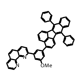 COc1cc(-c2ccc3ccc4cccnc4c3n2)cc(-c2ccc3c4c(cccc24)-c2c-3c(-c3ccccc3)c3ccccc3c2-c2ccccc2)c1